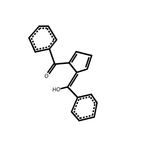 O=C(C1=CC=CC1=C(O)c1ccccc1)c1ccccc1